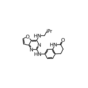 CC(C)CNc1nc(Nc2ccc3c(c2)NC(=O)CC3)nc2ccoc12